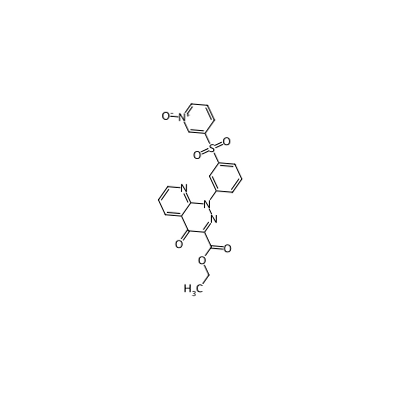 CCOC(=O)c1nn(-c2cccc(S(=O)(=O)c3ccc[n+]([O-])c3)c2)c2ncccc2c1=O